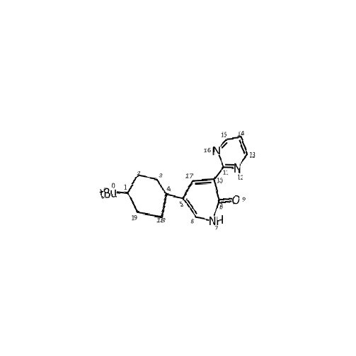 CC(C)(C)C1CCC(c2c[nH]c(=O)c(-c3ncccn3)c2)CC1